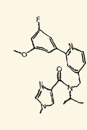 COc1cc(F)cc(-c2cc(CN(C(=O)c3cn(C)cn3)C(C)C)ccn2)c1